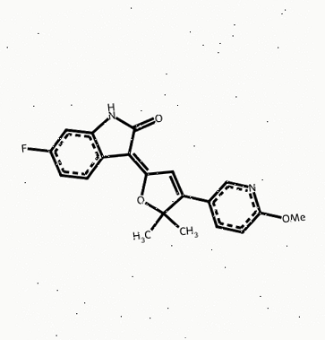 COc1ccc(C2=C/C(=C3\C(=O)Nc4cc(F)ccc43)OC2(C)C)cn1